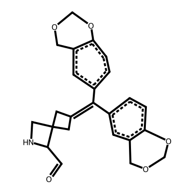 O=CC1NCC12CC(=C(c1ccc3c(c1)COCO3)c1ccc3c(c1)COCO3)C2